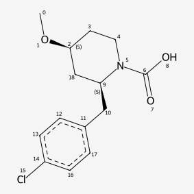 CO[C@H]1CCN(C(=O)O)[C@@H](Cc2ccc(Cl)cc2)C1